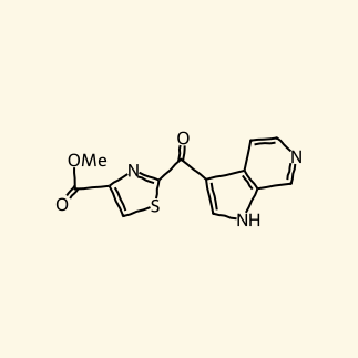 COC(=O)c1csc(C(=O)c2c[nH]c3cnccc23)n1